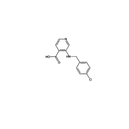 O=C(O)c1ccncc1NCc1ccc(Cl)cc1